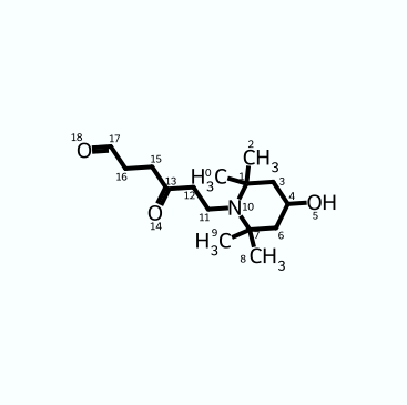 CC1(C)CC(O)CC(C)(C)N1CCC(=O)CCC=O